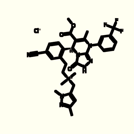 COC(=O)C1=C(C)N(c2cccc(C(F)(F)F)c2)c2n[nH]c(=O)n2[C@@H]1c1ccc(C#N)cc1CC[N+](C)(C)Cc1cc(C)nn1C.[Cl-]